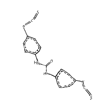 O=C(Nc1ccc(N=C=S)cc1)Nc1ccc(N=C=S)cc1